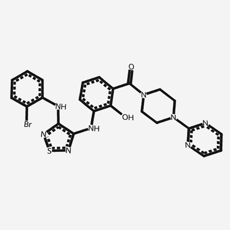 O=C(c1cccc(Nc2nsnc2Nc2ccccc2Br)c1O)N1CCN(c2ncccn2)CC1